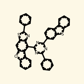 c1ccc(-c2nc(-c3ccc4c(c3)sc3ccccc34)nc(-c3c4nc(-c5ccccc5)sc4cc4oc5ccccc5c34)n2)cc1